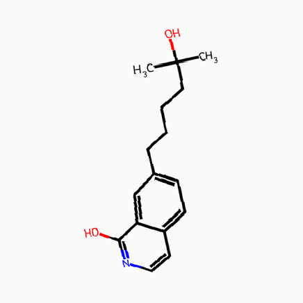 CC(C)(O)CCCCc1ccc2ccnc(O)c2c1